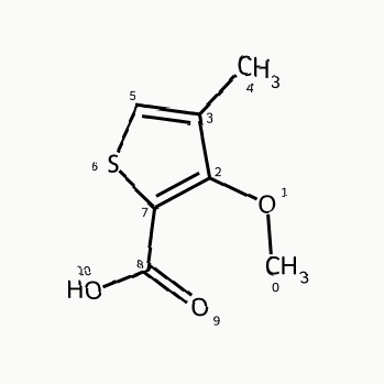 COc1c(C)csc1C(=O)O